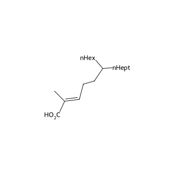 CCCCCCCC(CCC=C(C)C(=O)O)CCCCCC